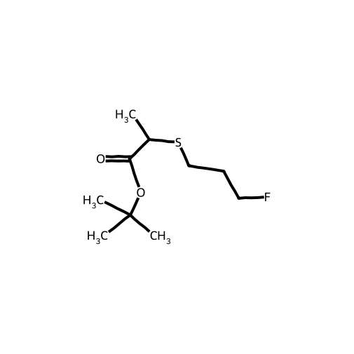 CC(SCCCF)C(=O)OC(C)(C)C